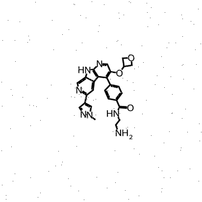 Cn1cc(-c2cc3c(cn2)[nH]c2ncc(OC4COC4)c(-c4ccc(C(=O)NCCN)cc4)c23)cn1